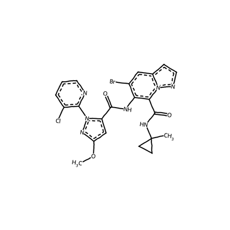 COc1cc(C(=O)Nc2c(Br)cc3ccnn3c2C(=O)NC2(C)CC2)n(-c2ncccc2Cl)n1